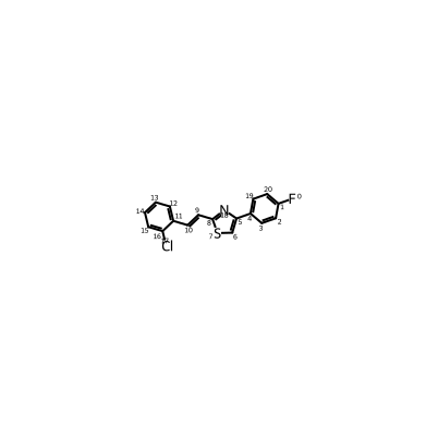 Fc1ccc(-c2csc(/C=C/c3ccccc3Cl)n2)cc1